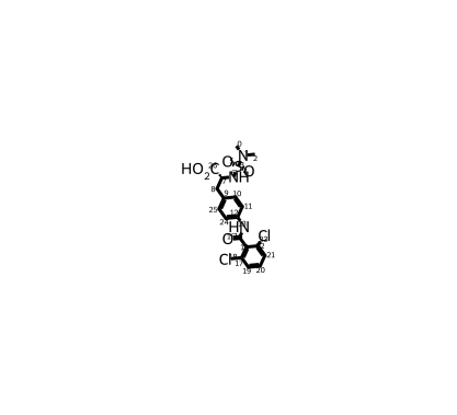 CN(C)S(=O)(=O)N[C@@H](Cc1ccc(NC(=O)c2c(Cl)cccc2Cl)cc1)C(=O)O